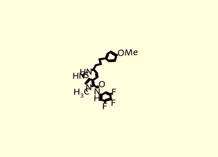 COc1ccc(CCCC2C=Cc3c(cn(C)c3C(=O)Nc3cc(F)c(F)c(F)c3)S(=N)N2)cc1